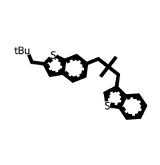 CC(C)(C)Cc1cc2ccc(CC(C)(C)Cc3csc4ccccc34)cc2s1